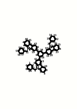 c1ccc(Cn2c3ccccc3c3cc(-c4cc(-c5ccc6c7ccccc7n(Cc7ccccc7)c6c5)cc(-c5ccc6c7ccccc7n(Cc7ccccc7)c6c5)c4)ccc32)cc1